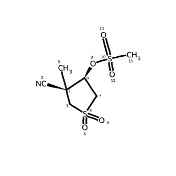 C[C@@]1(C#N)CS(=O)(=O)C[C@@H]1OS(C)(=O)=O